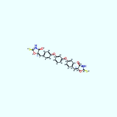 O=C1NC(=S)O/C1=C/c1ccc(Oc2cccc(Oc3ccc(/C=C4/OC(=S)NC4=O)cc3)c2)cc1